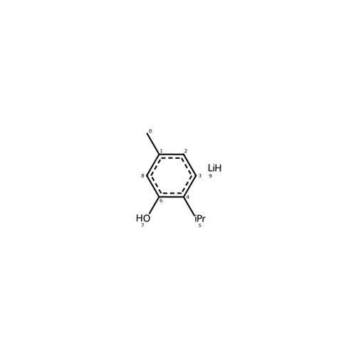 Cc1ccc(C(C)C)c(O)c1.[LiH]